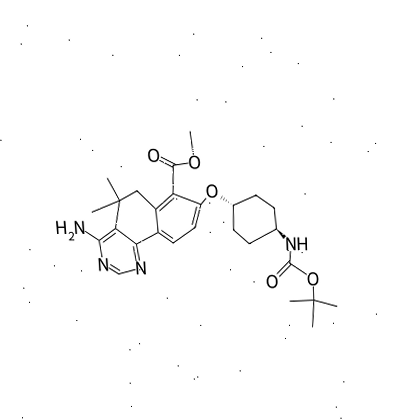 COC(=O)c1c(O[C@H]2CC[C@H](NC(=O)OC(C)(C)C)CC2)ccc2c1CC(C)(C)c1c(N)ncnc1-2